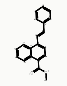 COC(=O)c1ccc(/C=C/c2ccccc2)c2ccccc12